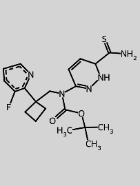 CC(C)(C)OC(=O)N(CC1(c2ncccc2F)CCC1)C1=NNC(C(N)=S)C=C1